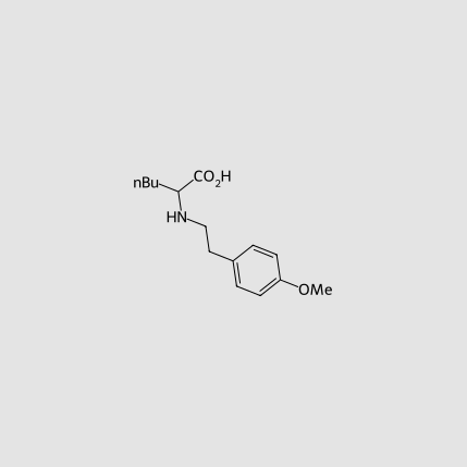 CCCCC(NCCc1ccc(OC)cc1)C(=O)O